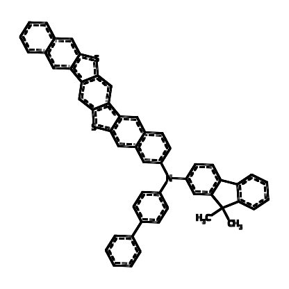 CC1(C)c2ccccc2-c2ccc(N(c3ccc(-c4ccccc4)cc3)c3ccc4cc5c(cc4c3)sc3cc4c(cc35)sc3cc5ccccc5cc34)cc21